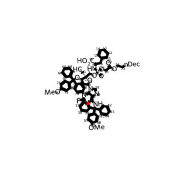 C#C[C@]1(COP(=O)(NC(Cc2ccccc2)C(=O)O)OCC(=O)OCCCCCCCCCCCC)O[C@@H](n2cnc3c(NC(c4ccccc4)(c4ccccc4)c4ccc(OC)cc4)nc(F)nc32)C[C@@H]1OC(c1ccccc1)(c1ccccc1)c1ccc(OC)cc1